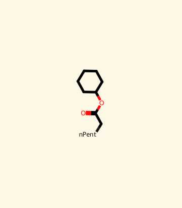 [CH2]CCCCCC(=O)OC1CCCCC1